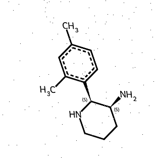 Cc1ccc([C@@H]2NCCC[C@@H]2N)c(C)c1